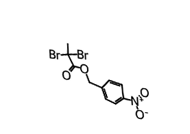 CC(Br)(Br)C(=O)OCc1ccc([N+](=O)[O-])cc1